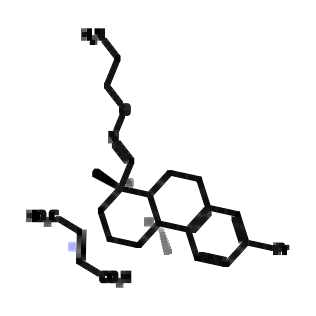 CC(C)c1ccc2c(c1)CCC1[C@@](C)(C=NOCCN)CCC[C@]21C.O=C(O)/C=C/C(=O)O